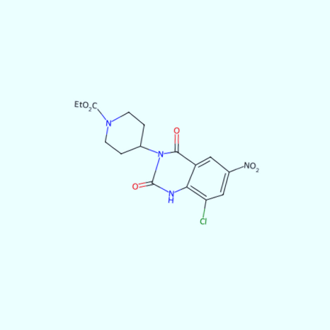 CCOC(=O)N1CCC(n2c(=O)[nH]c3c(Cl)cc([N+](=O)[O-])cc3c2=O)CC1